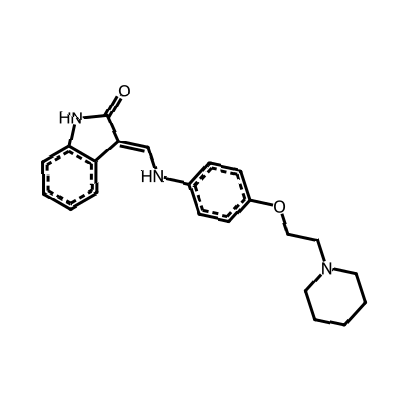 O=C1Nc2ccccc2/C1=C\Nc1ccc(OCCN2CCCCC2)cc1